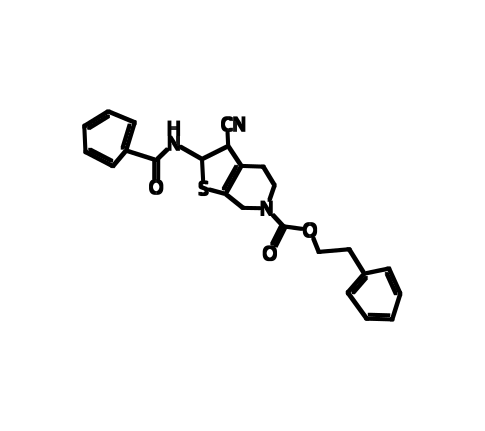 N#CC1C2=C(CN(C(=O)OCCc3ccccc3)CC2)SC1NC(=O)c1ccccc1